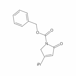 CC(C)C1=CC(=O)N(C(=O)OCc2ccccc2)C1